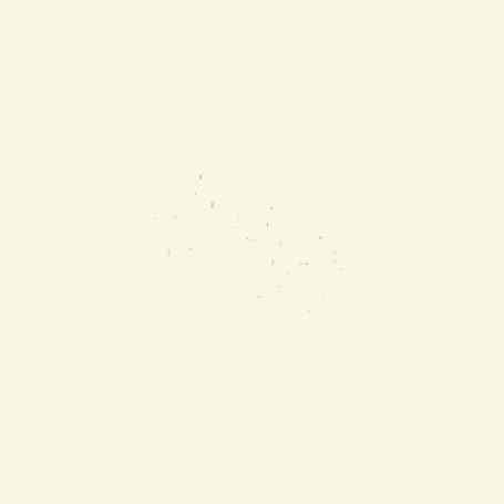 CC(C)C(=O)NC(CC(=O)N[C@@H](C)C(=O)NN1C(=O)C(C)c2ccccc2-c2ccccc21)c1ccccc1